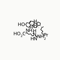 CC(C)CCCC(C)[C@H]1CC[C@H]2[C@@H]3CC=C4C[C@@H](O)CC[C@]4(C)[C@H]3CC[C@]12C.N=C(N)NCCCC(N)C(=O)O